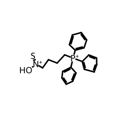 O[N+](=S)CCCC[P+](c1ccccc1)(c1ccccc1)c1ccccc1